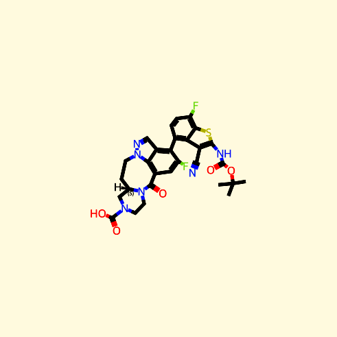 CC(C)(C)OC(=O)Nc1sc2c(F)ccc(-c3c(F)cc4c5c3cnn5CC[C@H]3CN(C(=O)O)CCN3C4=O)c2c1C#N